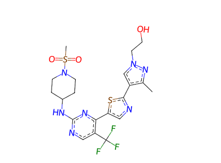 Cc1nn(CCO)cc1-c1ncc(-c2nc(NC3CCN(S(C)(=O)=O)CC3)ncc2C(F)(F)F)s1